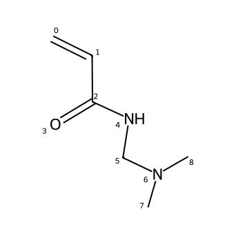 C=CC(=O)NCN(C)C